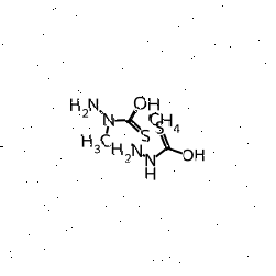 C.CN(N)C(O)=S.NNC(O)=S